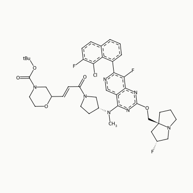 CN(c1nc(OC[C@@]23CCCN2C[C@H](F)C3)nc2c(F)c(-c3cccc4ccc(F)c(Cl)c34)ncc12)[C@@H]1CCN(C(=O)/C=C/C2CN(C(=O)OC(C)(C)C)CCO2)C1